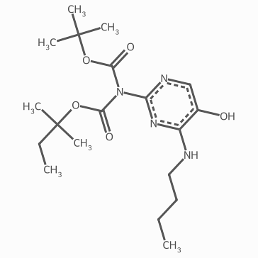 CCCCNc1nc(N(C(=O)OC(C)(C)C)C(=O)OC(C)(C)CC)ncc1O